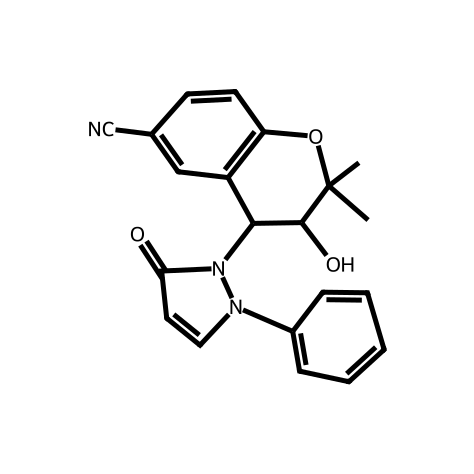 CC1(C)Oc2ccc(C#N)cc2C(n2c(=O)ccn2-c2ccccc2)C1O